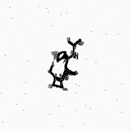 CCC1=C(C(C)C(=O)NC(C)C)CC1